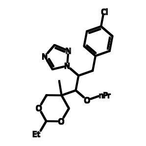 CCCOC(C(Cc1ccc(Cl)cc1)n1cncn1)C1(C)COC(CC)OC1